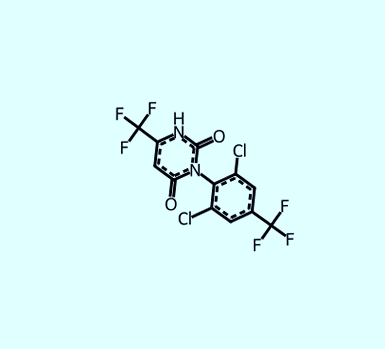 O=c1cc(C(F)(F)F)[nH]c(=O)n1-c1c(Cl)cc(C(F)(F)F)cc1Cl